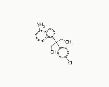 CCC(CC)(c1ccc(Cl)cc1)n1ccc2c(N)cccc21